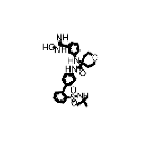 CC(C)(C)NS(=O)(=O)c1ccccc1-c1ccc(NC(=O)C2(Nc3cccc(C(=N)NO)c3)CCOCC2)cc1